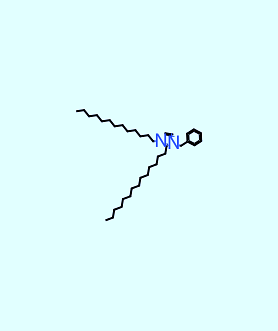 CCCCCCCCCCCCCCc1n(Cc2ccccc2)cc[n+]1CCCCCCCCCCCCC